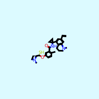 C=Cc1cc2c(c(C3(NC(=O)c4cc(O[C@@H](S)[C@@H]5CCN5C)ccc4C)CC3)c1)CCCN2C